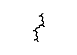 [CH2]C(C)CCCC(C)[CH]CCC(C)CCCC(C)C